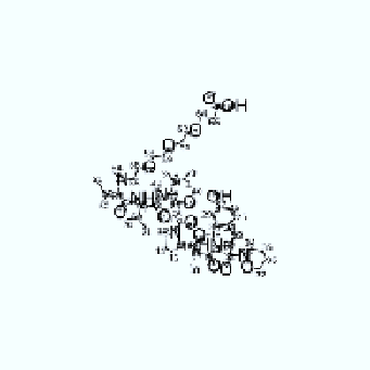 CC[C@H](C)[C@@H]([C@@H](CC(=O)N1CCC[C@H]1[C@H](OC)[C@@H](C)C(=O)N[C@@H](Cc1ccc(O)cc1)C(=O)N1CCCCO1)OC)N(C)C(=O)[C@@H](NC(=O)[C@H](C(C)C)N(C)CCOCCOCCOCCC(=O)O)C(C)C